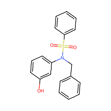 O=S(=O)(c1ccccc1)N(Cc1ccccc1)c1cccc(O)c1